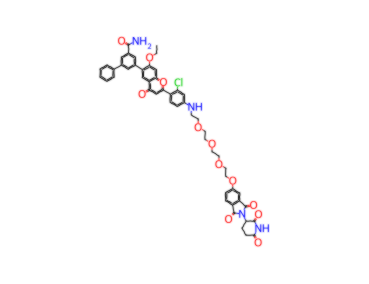 CCOc1cc2oc(-c3ccc(NCCOCCOCCOCCOc4ccc5c(c4)C(=O)N(C4CCC(=O)NC4=O)C5=O)cc3Cl)cc(=O)c2cc1-c1cc(C(N)=O)cc(-c2ccccc2)c1